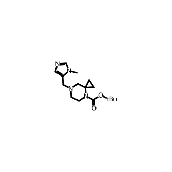 Cn1cncc1CN1CCN(C(=O)OC(C)(C)C)C2(CC2)C1